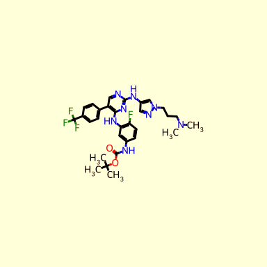 CN(C)CCCn1cc(Nc2ncc(-c3ccc(C(F)(F)F)cc3)c(Nc3cc(NC(=O)OC(C)(C)C)ccc3F)n2)cn1